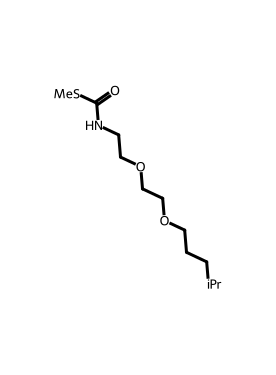 CSC(=O)NCCOCCOCCCC(C)C